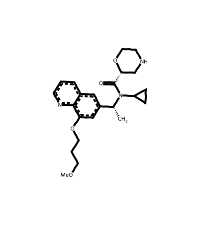 COCCCOc1cc([C@@H](C)N(C(=O)[C@H]2CNCCO2)C2CC2)cc2cccnc12